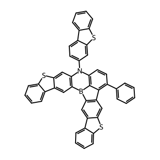 c1ccc(-c2ccc3c4c2-c2cc5sc6ccccc6c5cc2B4c2cc4c(cc2N3c2ccc3c(c2)sc2ccccc23)sc2ccccc24)cc1